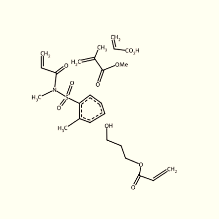 C=C(C)C(=O)OC.C=CC(=O)N(C)S(=O)(=O)c1ccccc1C.C=CC(=O)O.C=CC(=O)OCCCO